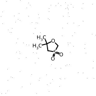 CC1(C)CS(=O)(=O)CO1